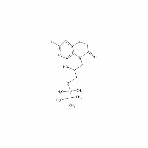 CC(C)(C)[Si](C)(C)OCC(O)CN1C(=O)COc2cc(F)ccc21